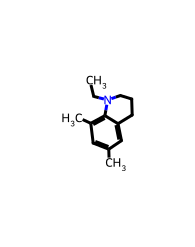 CCN1CCCc2cc(C)cc(C)c21